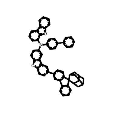 c1ccc(-c2ccc(N(c3ccc4oc5ccc(-c6ccc7c(c6)-c6ccccc6C76C7CC8CC(C7)CC6C8)cc5c4c3)c3cccc4c3oc3ccccc34)cc2)cc1